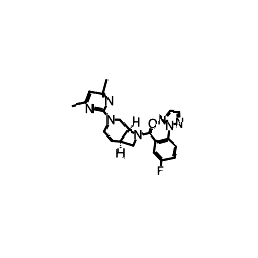 Cc1cc(C)nc(N2CC[C@@H]3CN(C(=O)c4cc(F)ccc4-n4nccn4)[C@@H]3C2)n1